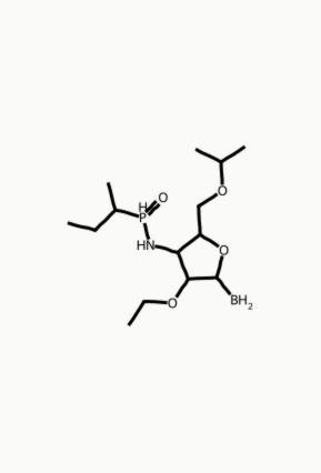 BC1OC(COC(C)C)C(N[PH](=O)C(C)CC)C1OCC